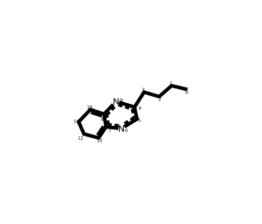 CCCCc1cnc2c(n1)=CCCC=2